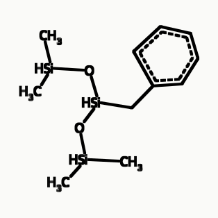 C[SiH](C)O[SiH](Cc1ccccc1)O[SiH](C)C